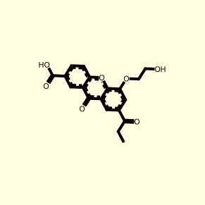 CCC(=O)c1cc(OCCO)c2oc3ccc(C(=O)O)cc3c(=O)c2c1